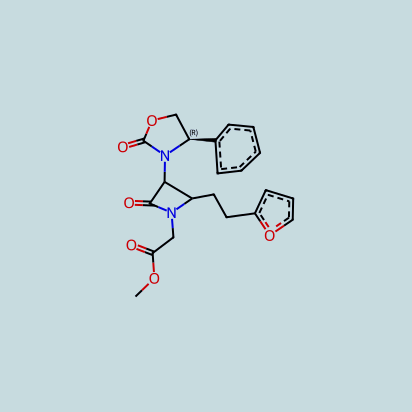 COC(=O)CN1C(=O)C(N2C(=O)OC[C@H]2c2ccccc2)C1CCc1ccco1